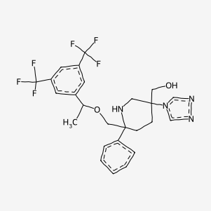 CC(OCC1(c2ccccc2)CCC(CO)(n2cnnc2)CN1)c1cc(C(F)(F)F)cc(C(F)(F)F)c1